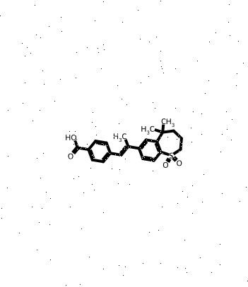 CC(=Cc1ccc(C(=O)O)cc1)c1ccc2c(c1)C(C)(C)CCCS2(=O)=O